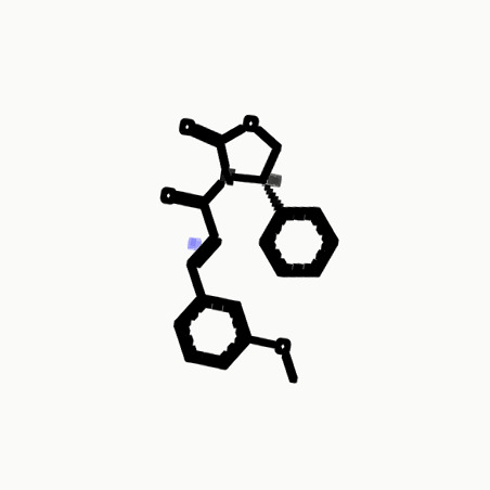 COc1cccc(/C=C/C(=O)N2C(=O)OC[C@@H]2c2ccccc2)c1